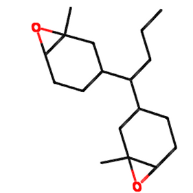 CCCC(C1CCC2OC2(C)C1)C1CCC2OC2(C)C1